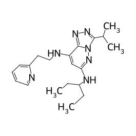 CCC(CC)Nc1cc(NCCc2ccccn2)c2nnc(C(C)C)n2n1